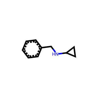 c1ccc(CN[C]2CC2)cc1